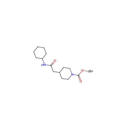 CC(C)(C)OC(=O)N1CCC(CC(=O)NC2CC[CH]CC2)CC1